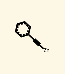 [Zn][C]#Cc1ccccc1